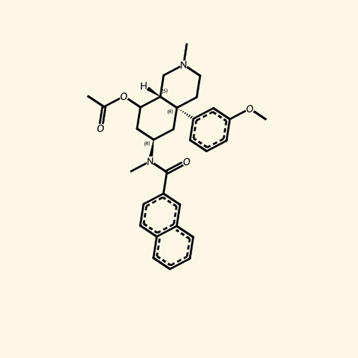 COc1cccc([C@@]23CCN(C)C[C@H]2C(OC(C)=O)C[C@H](N(C)C(=O)c2ccc4ccccc4c2)C3)c1